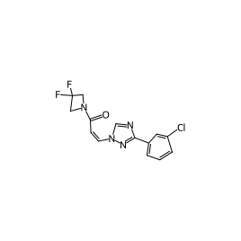 O=C(/C=C\n1cnc(-c2cccc(Cl)c2)n1)N1CC(F)(F)C1